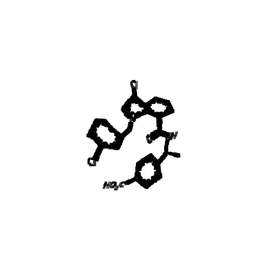 C[C@H](NC(=O)c1cccc2c(Cl)cn(Cc3cccc(Cl)c3)c12)c1ccc(C(=O)O)cc1